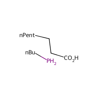 CCCCCCCC(=O)O.CCCCP